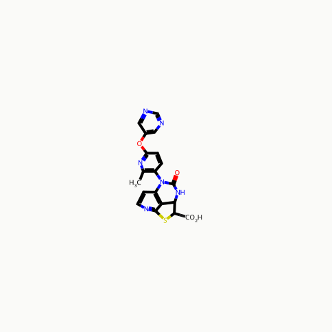 Cc1nc(Oc2cncnc2)ccc1N1C(=O)NC2c3c1ccnc3SC2C(=O)O